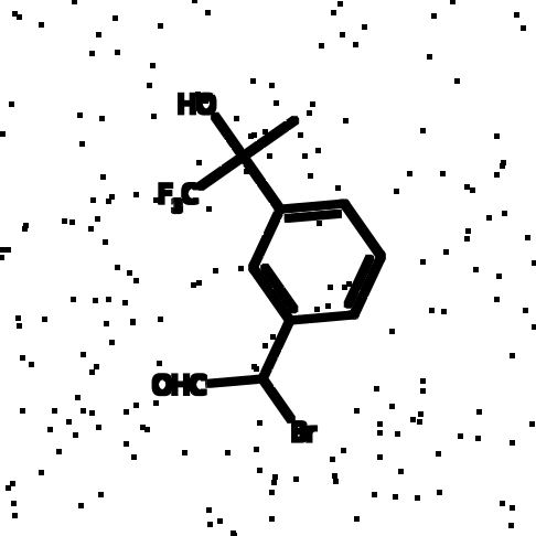 CC(O)(c1cccc(C(Br)C=O)c1)C(F)(F)F